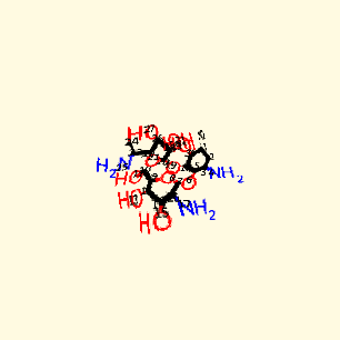 C[C@@H]1CC(N)[C@@H](O[C@H]2OC(CO)[C@@H](O)[C@H](O)C2N)[C@H](O[C@@H]2O[C@H]([C@H](C)N)[C@H](O)C2O)C1O